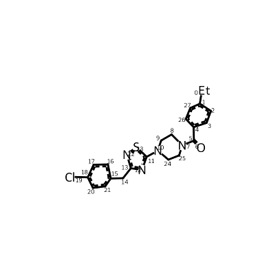 CCc1ccc(C(=O)N2CCN(c3nc(Cc4ccc(Cl)cc4)ns3)CC2)cc1